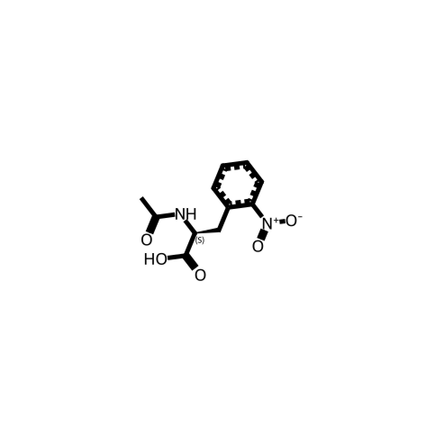 CC(=O)N[C@@H](Cc1ccccc1[N+](=O)[O-])C(=O)O